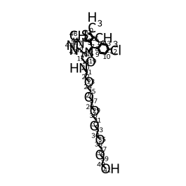 Cc1sc2c(c1C)C(c1ccc(Cl)cc1)=N[C@@H](CC(=O)NCCOCCOCCOCCOCCOCCOCCO)c1nnc(C)n1-2